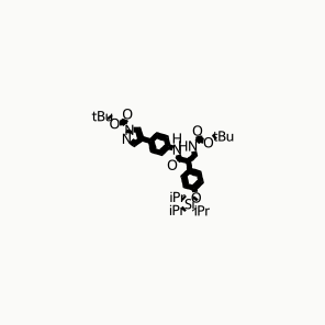 CC(C)[Si](Oc1ccc(C(CNC(=O)OC(C)(C)C)C(=O)Nc2ccc(-c3cnn(C(=O)OC(C)(C)C)c3)cc2)cc1)(C(C)C)C(C)C